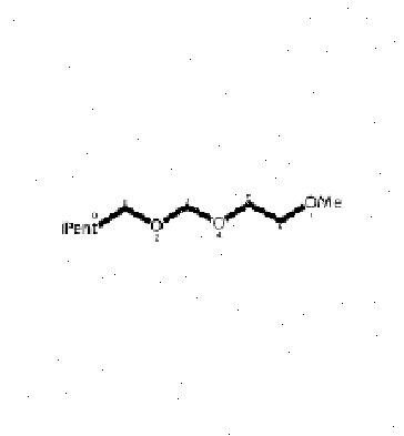 [CH2]CCC(C)COCOCCOC